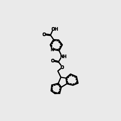 O=C(Nc1ccc(C(=O)O)cn1)OCC1c2ccccc2-c2ccccc21